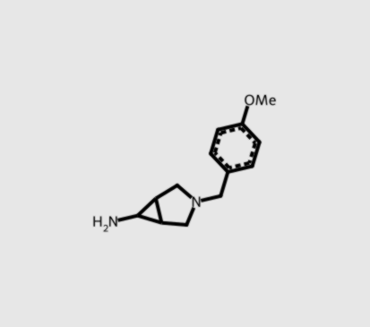 COc1ccc(CN2CC3C(N)C3C2)cc1